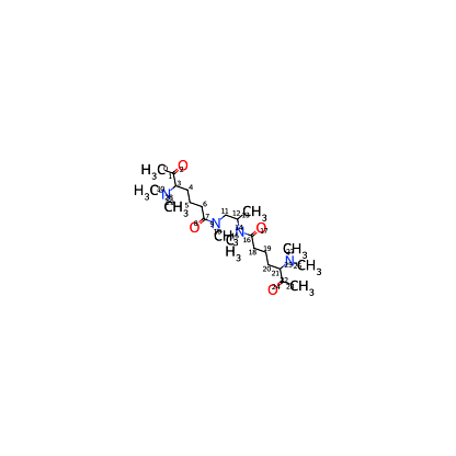 CC(=O)C(CCCC(=O)N(C)CC(C)N(C)C(=O)CCCC(C(C)=O)N(C)C)N(C)C